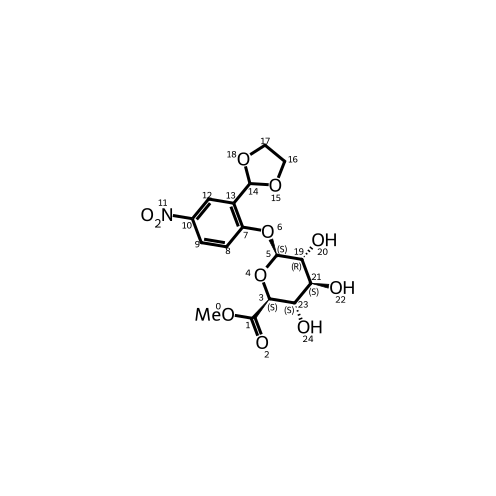 COC(=O)[C@H]1O[C@@H](Oc2ccc([N+](=O)[O-])cc2C2OCCO2)[C@H](O)[C@@H](O)[C@@H]1O